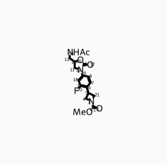 COC(=O)N1CC(c2ccc(N3CC(CNC(C)=O)OC3=O)cc2F)C1